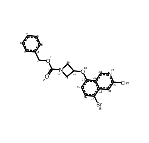 O=C(OCc1ccccc1)N1CC(Oc2ccc(Br)c3cc(Cl)ncc23)C1